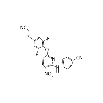 N#C/C=C/c1cc(F)c(Oc2ccc([N+](=O)[O-])c(Nc3ccc(C#N)cc3)n2)c(F)c1